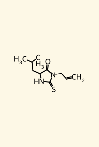 C=CCN1C(=O)C(CC(C)C)NC1=S